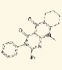 CC(C)c1nc2c(c(=O)c3c(n2C)CCCC3)c(=O)n1-c1ccccc1